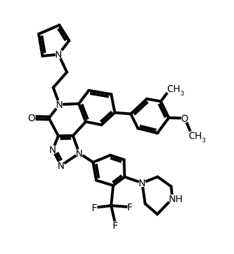 COc1ccc(-c2ccc3c(c2)c2c(nnn2-c2ccc(N4CCNCC4)c(C(F)(F)F)c2)c(=O)n3CCn2cccc2)cc1C